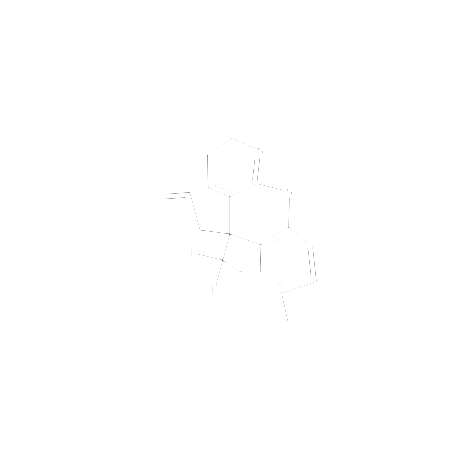 O=CCC1(C(F)(F)F)c2cc(Cl)ccc2Nc2ncccc21